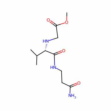 COC(=O)CN[C@H](C(=O)NCCC(N)=O)C(C)C